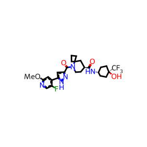 COc1cc(-c2cc(C(=O)N3CC[C@H](C(=O)N[C@H]4CC[C@@](O)(C(F)(F)F)CC4)CC34CCC4)n[nH]2)c(F)cn1